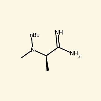 CCCCN(C)[C@H](C)C(=N)N